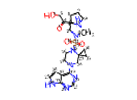 CN(C[C@@]1(C(=O)CO)CCCN1)S(=O)(=O)N1CCN(c2ncnc3[nH]ccc23)CC12CC2